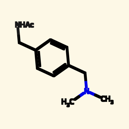 CC(=O)NCc1ccc(CN(C)C)cc1